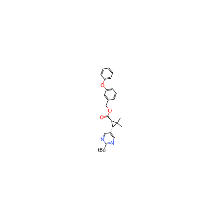 CC(C)(C)c1ncc([C@@H]2[C@@H](C(=O)OCc3cccc(Oc4ccccc4)c3)C2(C)C)cn1